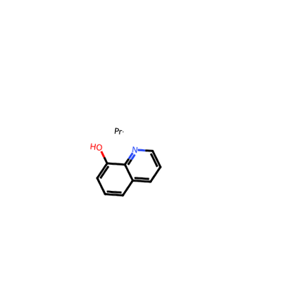 Oc1cccc2cccnc12.[Pr]